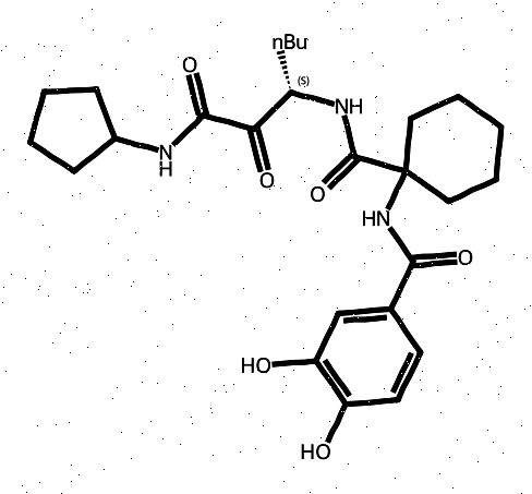 CCCC[C@H](NC(=O)C1(NC(=O)c2ccc(O)c(O)c2)CCCCC1)C(=O)C(=O)NC1CCCC1